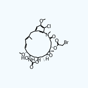 COc1cc2cc(c1Cl)N(C)C(=O)C[C@H](OC(=O)CBr)[C@]1(C)O[C@H]1[C@H](C)[C@@H]1C[C@@](O)(NC(=O)O1)[C@H](OC)/C=C/C=C(\C)C2